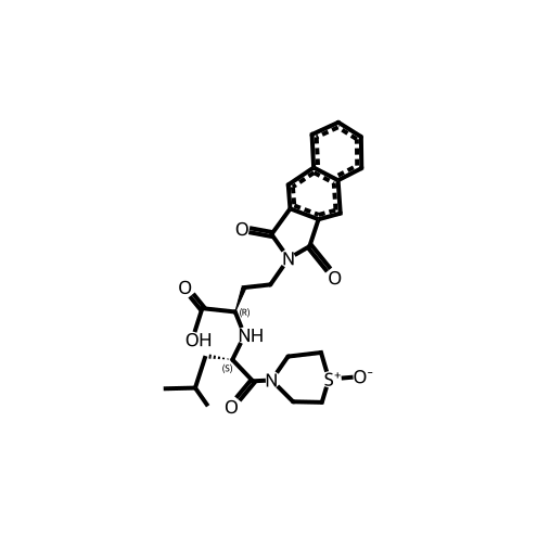 CC(C)C[C@H](N[C@H](CCN1C(=O)c2cc3ccccc3cc2C1=O)C(=O)O)C(=O)N1CC[S+]([O-])CC1